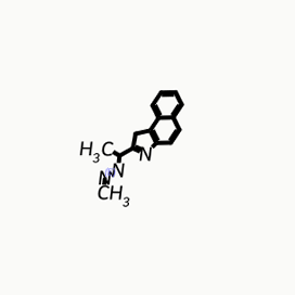 C/N=N/C(C)C1=Nc2ccc3ccccc3c2C1